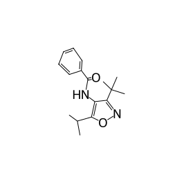 CC(C)c1onc(C(C)(C)C)c1NC(=O)c1ccccc1